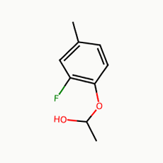 Cc1ccc(OC(C)O)c(F)c1